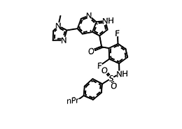 CCCc1ccc(S(=O)(=O)Nc2ccc(F)c(C(=O)c3c[nH]c4ncc(-c5nccn5C)cc34)c2F)cc1